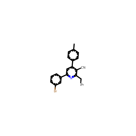 Cc1ccc(-c2cc(-c3cccc(Br)c3)nc(CC(C)C)c2C#N)cc1